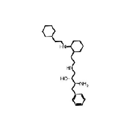 N[C@@H](Cc1ccccc1)[C@H](O)CNCCC1CCCCC1NCCC1CCCCC1